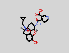 O=C(O)c1cnccc1C(=O)N[C@@H]1CC[C@@]2(O)[C@H]3Cc4ccc(O)c5c4[C@@]2(CCN3CC2CC2)[C@H]1O5